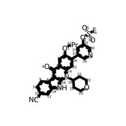 CC(C)Oc1cc2c(=O)c3c4ccc(C#N)cc4[nH]c3n(C3CCOCC3)c2cc1-c1cncc(OS(=O)(=O)F)c1